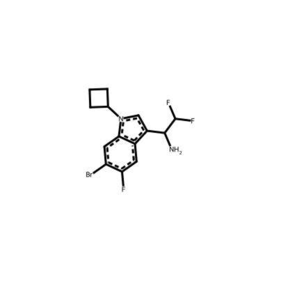 NC(c1cn(C2CCC2)c2cc(Br)c(F)cc12)C(F)F